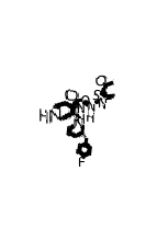 CC(=O)c1sc(NC(=O)N[C@]2(C(C)=O)CCNC[C@@H]2CN2CCC[C@@H](Cc3ccc(F)cc3)C2)nc1C